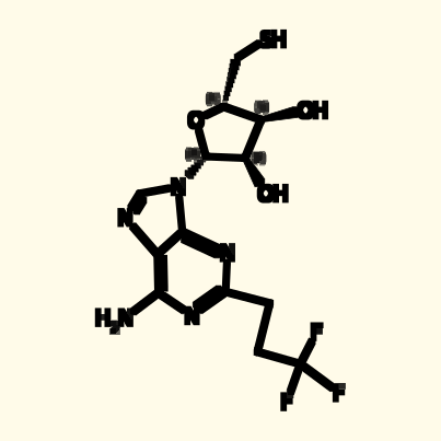 Nc1nc(CCC(F)(F)F)nc2c1ncn2[C@@H]1O[C@H](CS)[C@@H](O)[C@H]1O